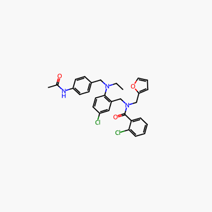 CCN(Cc1ccc(NC(C)=O)cc1)c1ccc(Cl)cc1CN(Cc1ccco1)C(=O)c1ccccc1Cl